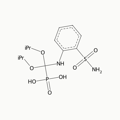 CC(C)OC(Nc1ccccc1S(N)(=O)=O)(OC(C)C)P(=O)(O)O